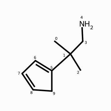 CC(C)(CN)C1=CC=CC1